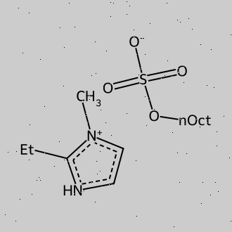 CCCCCCCCOS(=O)(=O)[O-].CCc1[nH]cc[n+]1C